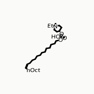 CCCCCCCC/C=C\CCCCCCCCCCCCOP(=O)(O)OC1CC[N+](C)(CC)CC1